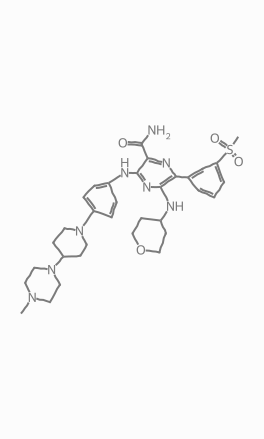 CN1CCN(C2CCN(c3ccc(Nc4nc(NC5CCOCC5)c(-c5cccc(S(C)(=O)=O)c5)nc4C(N)=O)cc3)CC2)CC1